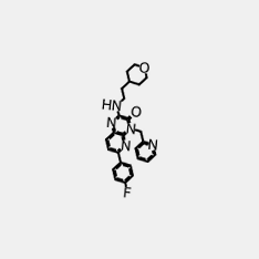 O=c1c(NCCC2CCOCC2)nc2ccc(-c3ccc(F)cc3)nc2n1Cc1ccccn1